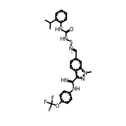 CC(C)c1ccccc1NC(=O)NS/N=C/c1ccc2c(C(=N)Nc3ccc(OC(F)(F)F)cc3)nn(C)c2c1